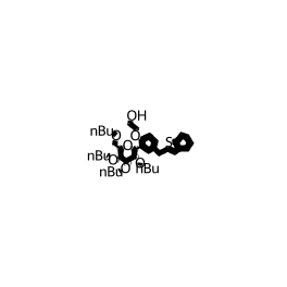 CCCCOC[C@H]1O[C@@H](c2cc(Cc3cc4ccccc4s3)ccc2OCCO)[C@H](OCCCC)[C@@H](OCCCC)[C@@H]1OCCCC